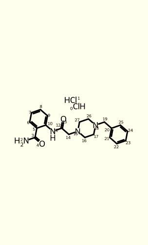 Cl.Cl.NC(=O)c1ccccc1NC(=O)CN1CCN(Cc2ccccc2)CC1